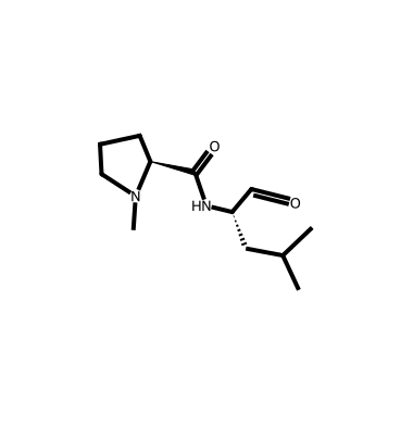 CC(C)C[C@@H](C=O)NC(=O)[C@@H]1CCCN1C